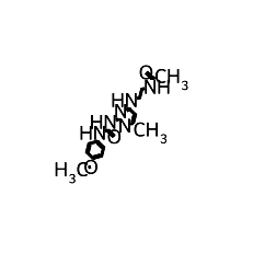 COc1ccc(NC(=O)Nc2nc(C)cc(NCCNC(C)=O)n2)cc1